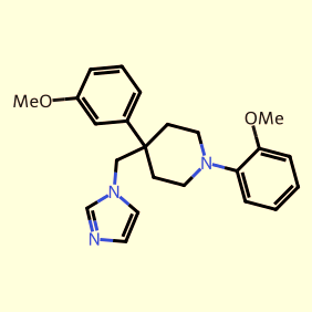 COc1cccc(C2(Cn3ccnc3)CCN(c3ccccc3OC)CC2)c1